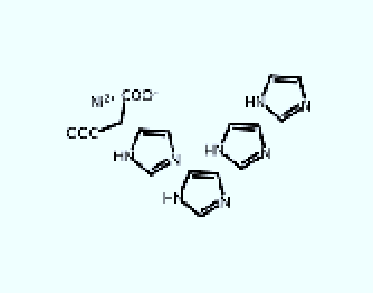 O=C([O-])CC(=O)[O-].[Ni+2].c1c[nH]cn1.c1c[nH]cn1.c1c[nH]cn1.c1c[nH]cn1